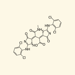 CNC(=O)C(=C1SC(Nc2c(Cl)cccc2Cl)=NC1=O)C(C(=O)O)=C1SC(Nc2c(Cl)cccc2Cl)=NC1=O